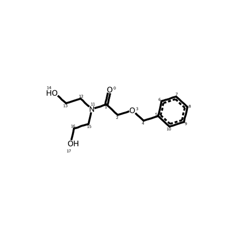 O=C(COCc1ccccc1)N(CCO)CCO